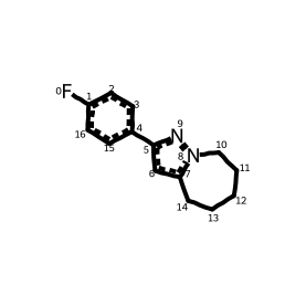 Fc1ccc(-c2cc3n(n2)CCCCC3)cc1